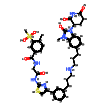 Cc1ccc(C(=O)NCC(=O)Nc2nc(-c3cccc(CCCNCCCc4ccc5c(c4)n(C)c(=O)n5C4CCC(=O)NC4=O)c3)cs2)cc1S(C)(=O)=O